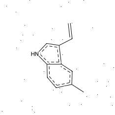 [CH]=Cc1c[nH]c2ccc(C)cc12